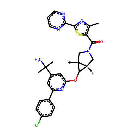 Cc1nc(-c2ncccn2)sc1C(=O)N1C[C@@H]2C(Oc3cc(C(C)(C)N)cc(-c4ccc(Cl)cc4)n3)[C@@H]2C1